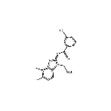 O=C(O)Cn1c(=NC(=O)c2cccc(C(F)(F)F)c2)sc2c(F)c(Cl)ccc21